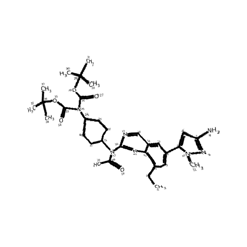 CCc1cc(-c2cc(N)nn2C)cc2cnc(N(C(=O)O)C3CCC(N(C(=O)OC(C)(C)C)C(=O)OC(C)(C)C)CC3)nc12